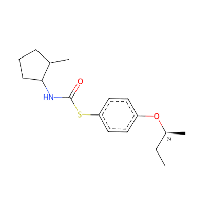 CC[C@H](C)Oc1ccc(SC(=O)NC2CCCC2C)cc1